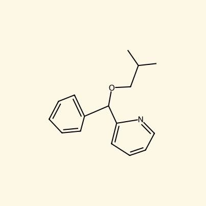 CC(C)COC(c1ccccc1)c1ccccn1